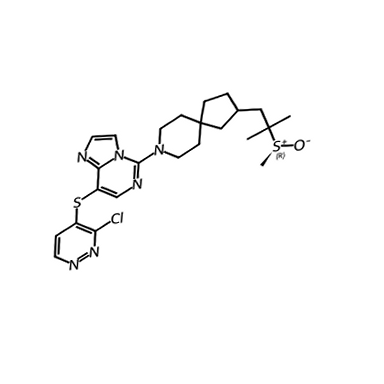 C[S@+]([O-])C(C)(C)CC1CCC2(CCN(c3ncc(Sc4ccnnc4Cl)c4nccn34)CC2)C1